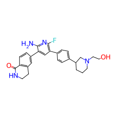 Nc1nc(F)c(-c2ccc(C3CCCN(CCO)C3)cc2)cc1-c1ccc2c(c1)CCNC2=O